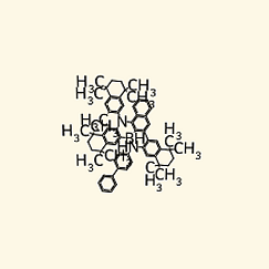 Cc1cc2c(cc1N1c3cc4c(cc3Bc3c(-c5cc6c(cc5Nc5ccc(-c7ccccc7)cc5)C(C)(C)CCC6(C)C)cc5ccccc5c31)C(C)(C)CCC4(C)C)C(C)(C)CCC2(C)C